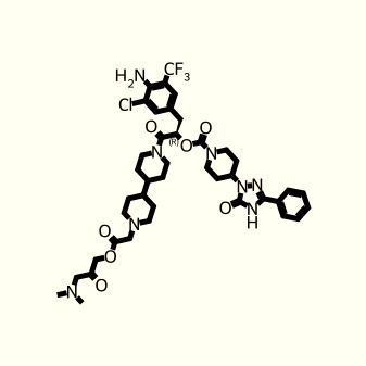 CN(C)CC(=O)COC(=O)CN1CCC(C2CCN(C(=O)[C@@H](Cc3cc(Cl)c(N)c(C(F)(F)F)c3)OC(=O)N3CCC(n4nc(-c5ccccc5)[nH]c4=O)CC3)CC2)CC1